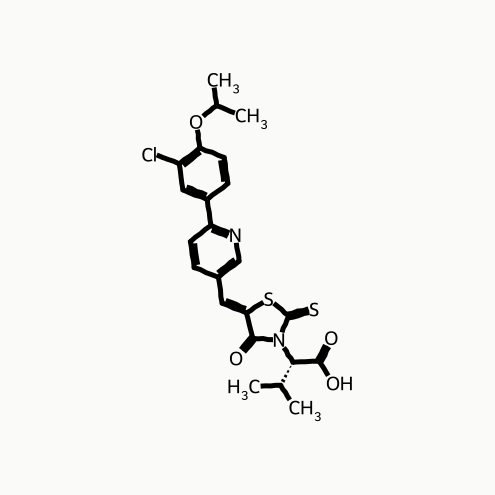 CC(C)Oc1ccc(-c2ccc(/C=C3\SC(=S)N([C@H](C(=O)O)C(C)C)C3=O)cn2)cc1Cl